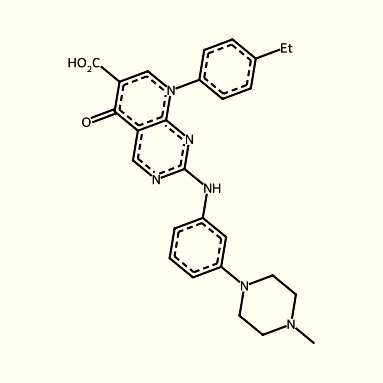 CCc1ccc(-n2cc(C(=O)O)c(=O)c3cnc(Nc4cccc(N5CCN(C)CC5)c4)nc32)cc1